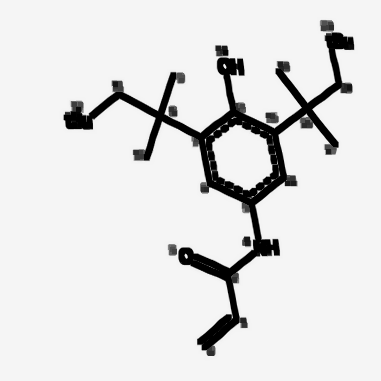 C=CC(=O)Nc1cc(C(C)(C)CC(C)(C)C)c(O)c(C(C)(C)CC(C)(C)C)c1